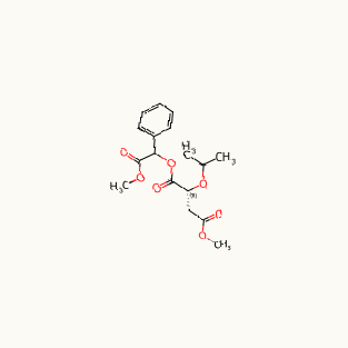 COC(=O)C[C@@H](OC(C)C)C(=O)OC(C(=O)OC)c1ccccc1